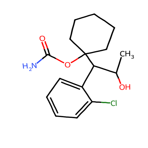 CC(O)C(c1ccccc1Cl)C1(OC(N)=O)CCCCC1